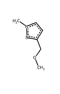 COCc1ccn(C)n1